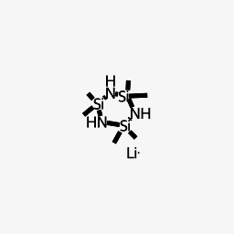 C[Si]1(C)N[Si](C)(C)N[Si](C)(C)N1.[Li]